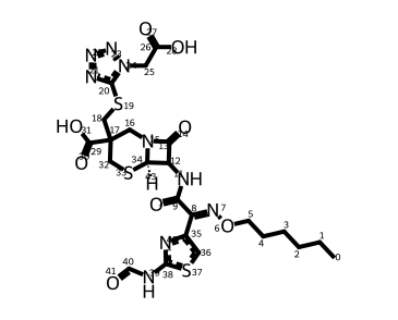 CCCCCCON=C(C(=O)NC1C(=O)N2CC(CSc3nnnn3CC(=O)O)(C(=O)O)CS[C@H]12)c1csc(NC=O)n1